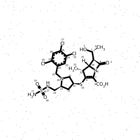 C[C@@H](O)[C@H]1C(=O)N2C(C(=O)O)=C(S[C@H]3C[C@@H](CNS(N)(=O)=O)N(Cc4cc(Cl)c(Cl)cc4Cl)C3)[C@H](C)[C@H]12